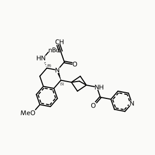 C#CC(=O)N1[C@@H](NCCCC)Cc2cc(OC)ccc2[C@@H]1C12CC(NC(=O)c3ccncc3)(C1)C2